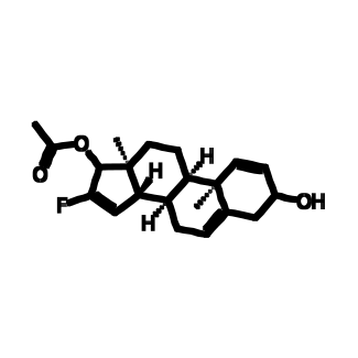 CC(=O)OC1C(F)=C[C@H]2[C@@H]3CC=C4CC(O)C=C[C@]4(C)[C@@H]3CC[C@]12C